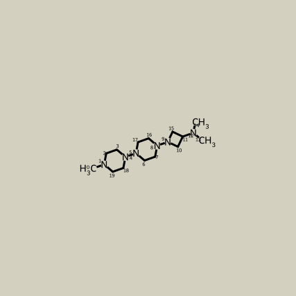 CN1CCN(N2CCN(N3CC(N(C)C)C3)CC2)CC1